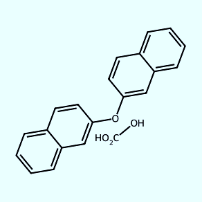 O=C(O)O.c1ccc2cc(Oc3ccc4ccccc4c3)ccc2c1